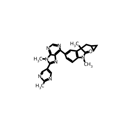 Cc1ncc(-c2nc3c(-c4ccc5c(c4)C(C)(CC4CC4)C(=O)N5C)ncnc3n2C)cn1